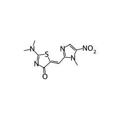 CN(C)C1=NC(=O)/C(=C/c2ncc([N+](=O)[O-])n2C)S1